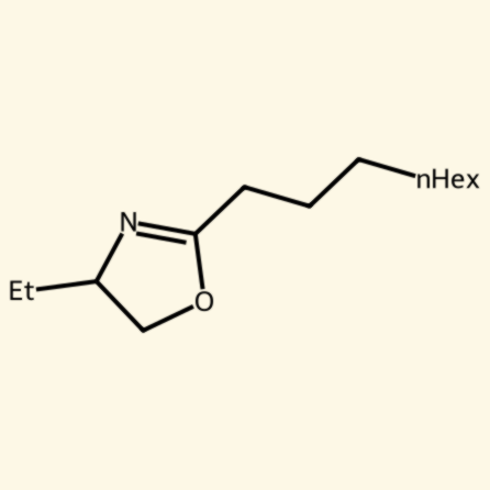 CCCCCCCCCC1=NC(CC)CO1